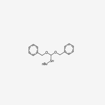 CCC[CH2][Sn][CH](OCc1ccccc1)OCc1ccccc1